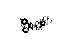 Cc1ccc(C2=NN(C(=O)N[C@H](C)c3cnc(C(F)(F)F)nc3)C[C@@H]2N2CCCC2=O)cc1